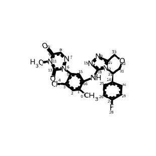 Cc1cc(Cl)c(-n2ncc(=O)n(C)c2=O)cc1Nc1nnc2n1[C@H](c1ccc(F)cc1)COC2